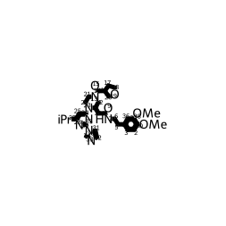 COc1ccc(CCNC(=O)CC2CN(C(=O)C3CCOC3)CCN2c2cc(C(C)C)nc(-n3ccnc3)n2)cc1OC